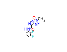 Cn1nnc2c(C(=O)Nc3cccc(F)c3F)ncn2c1=O